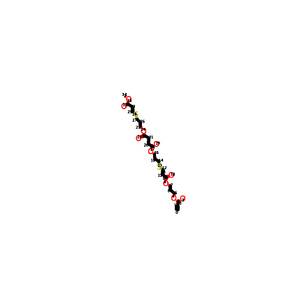 C#CC(=O)OCCCOC(=O)/C=C/SCCCOC(=O)CCC(=O)OCCCSC=CC(=O)OC